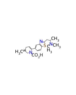 CC(Cc1nc2cc(C3=CC[C@H](C)CN3C(=O)O)ccc2s1)N(C)C